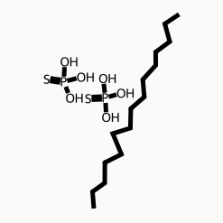 CCCCCCCCCCCCCCC.OP(O)(O)=S.OP(O)(O)=S